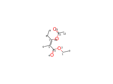 CCOC(=O)C(C)=C(CC)OC(C)=O